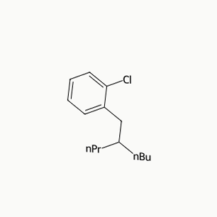 CCCCC(CCC)Cc1ccccc1Cl